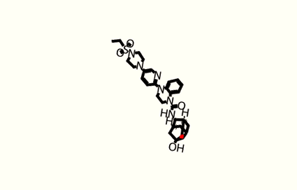 CCS(=O)(=O)N1CCN(c2ccc(N3CCN(C(=O)NC4[C@@H]5CC6C[C@H]4CC(O)(C6)C5)c4ccccc43)nc2)CC1